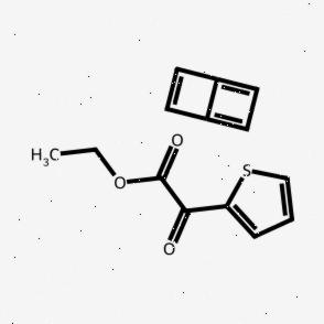 CCOC(=O)C(=O)c1cccs1.c1cc2ccc1-2